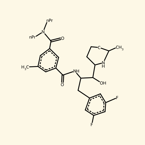 CCCN(CCC)C(=O)c1cc(C)cc(C(=O)NC(Cc2cc(F)cc(F)c2)C(O)C2CCCC(C)N2)c1